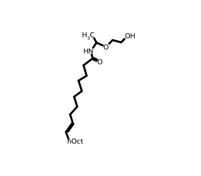 CCCCCCCCC=CCCCCCCCC(=O)NC(C)OCCO